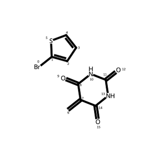 Brc1cccs1.C=C1C(=O)NC(=O)NC1=O